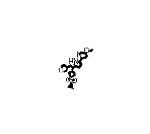 CCOc1ccc(-c2ccc(C(CC3CCOCC3)c3ccc(S(=O)(=O)C4CC4)cc3)[nH]2)nc1